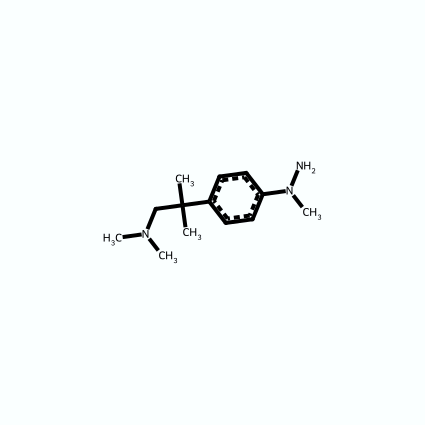 CN(C)CC(C)(C)c1ccc(N(C)N)cc1